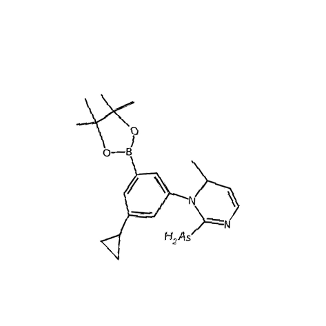 CC1C=CN=C([AsH2])N1c1cc(B2OC(C)(C)C(C)(C)O2)cc(C2CC2)c1